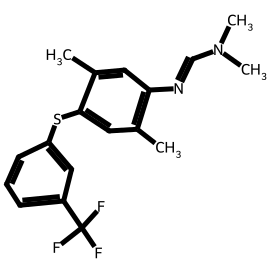 Cc1cc(Sc2cccc(C(F)(F)F)c2)c(C)cc1N=CN(C)C